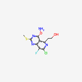 CSc1nc(ON)c2c(CCO)nc(Cl)c(F)c2n1